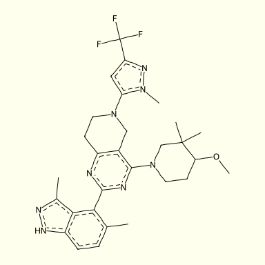 COC1CCN(c2nc(-c3c(C)ccc4[nH]nc(C)c34)nc3c2CN(c2cc(C(F)(F)F)nn2C)CC3)CC1(C)C